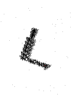 Cn1cc[n+](-c2ccccc2)c1.Cn1cc[n+](-c2ccccc2)c1.Cn1cc[n+](-c2ccccc2)c1.Cn1cc[n+](-c2ccccc2)c1.Cn1cc[n+](-c2ccccc2)c1.Cn1cc[n+](-c2ccccc2)c1.Cn1cc[n+](-c2ccccc2)c1.Cn1cc[n+](-c2ccccc2)c1.[O-]B([O-])F.[O-]B([O-])F.[O-]B([O-])F.[O-]B([O-])F